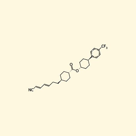 N#CC=CC=CCC[C@H]1CC[C@H](C(=O)O[C@H]2CC[C@H](c3ccc(C(F)(F)F)cc3)CC2)CC1